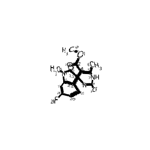 COC(=O)C1=C(C)NC(Cl)=NC12C(=O)N(C)c1cc(F)ccc12